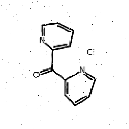 O=C(c1ccccn1)c1ccccn1.[C]